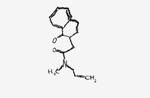 C=CCN(C)C(=O)CC1CCc2ccccc2C1=O